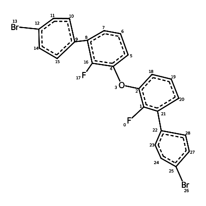 Fc1c(Oc2cccc(-c3ccc(Br)cc3)c2F)cccc1-c1ccc(Br)cc1